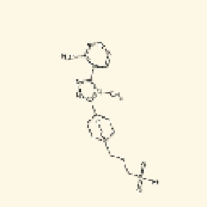 CCS(=O)(=O)CCCC12CCC(c3nnc(-c4ccccc4C)n3C)(CC1)CC2